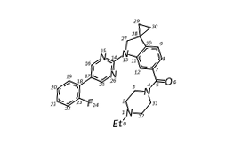 CCN1CCN(C(=O)c2ccc3c(c2)N(c2ncc(-c4ccccc4F)cn2)CC32CC2)CC1